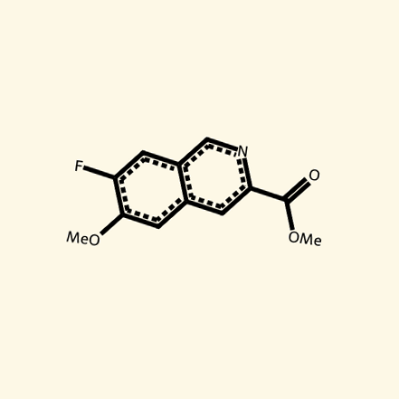 COC(=O)c1cc2cc(OC)c(F)cc2cn1